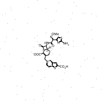 CON=C(C(=O)NC1C(=O)N2C(C(=O)[O-])=C(C[n+]3ccc4sc(C(=O)O)cc4c3)CS[C@@H]12)c1csc(N)n1